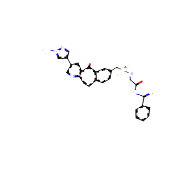 Cn1cc(-c2cnc3ccc4ccc(CS(=O)(=O)NCC(=O)NC(=N)c5ccccc5)cc4c(=O)c3c2)cn1